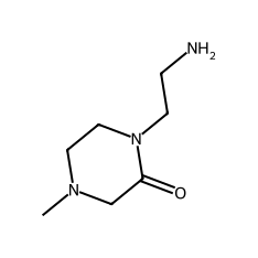 CN1CCN(CCN)C(=O)C1